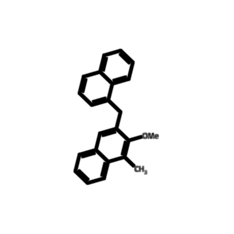 COc1c(Cc2cccc3ccccc23)cc2ccccc2c1C